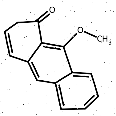 COc1c2c(cc3ccccc13)C=CCC2=O